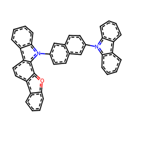 c1ccc2c(c1)oc1c2ccc2c3ccccc3n(-c3ccc4cc(-n5c6ccccc6c6ccccc65)ccc4c3)c21